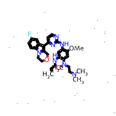 C=CC(=O)Nc1cc(Nc2nccc(-c3c4n(c5ccc(F)cc35)CCOC4)n2)c(OC)cc1N(C)CCN(C)C